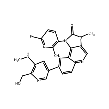 CNc1cc(-c2ccc3ncc4c(c3c2)n(-c2ccc(F)nc2C)c(=O)n4C)cnc1CO